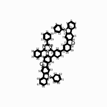 C1=CCC2C(=C1)N(c1ccccc1)C1=C2CC2OC3CCC(C4=CC(C5N=C(c6ccccc6)N=C(c6ccccc6)N5)=C(c5ccc6oc7cc8c(cc7c6c5)N(C5C=CC=CC5)C5CC=CC=C85)CC4)=CC3C2=C1